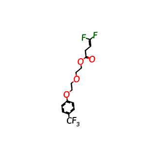 O=C(CC=C(F)F)OCCOCCOc1ccc(C(F)(F)F)cc1